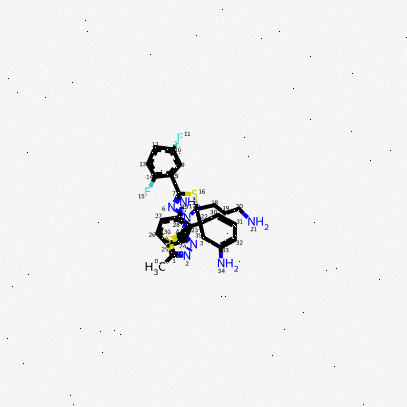 Cc1nnc(N2N=C(c3cc(F)ccc3F)SC2(CCCN)C2(c3ccccc3N)C=CC=C(N)C2)s1